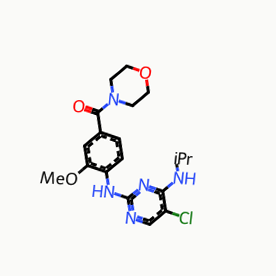 COc1cc(C(=O)N2CCOCC2)ccc1Nc1ncc(Cl)c(NC(C)C)n1